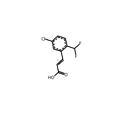 O=C(O)/C=C/c1cc(Cl)ccc1C(F)F